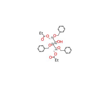 CCC(=O)OC[C@H](OCc1ccccc1)[C@@H](O)[C@H](OCc1ccccc1)[C@@H](COC(=O)CC)OCc1ccccc1